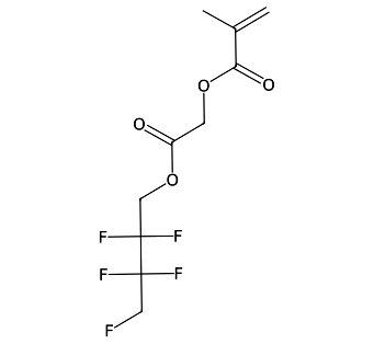 C=C(C)C(=O)OCC(=O)OCC(F)(F)C(F)(F)CF